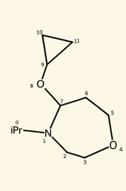 CC(C)N1CCOCCC1OC1CC1